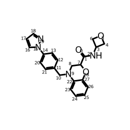 O=C(NC1COC1)C1CN(Cc2ccc(-n3cccn3)cc2)c2ccccc2O1